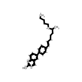 CCCCCOC(C)CCC/C=C/c1ccc(-c2ccc3nc(O)ncc3c2)cc1